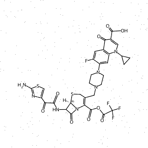 Nc1nc(C(=O)C(=O)NC2C(=O)N3C(C(=O)OC(=O)C(F)(F)F)=C(CN4CCN(c5cc6c(cc5F)c(=O)c(C(=O)O)cn6C5CC5)CC4)CS[C@H]23)cs1